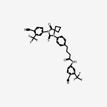 N#Cc1ccc(NC(=O)CCCc2ccc(N3C(=S)N(c4ccc(C#N)c(C(F)(F)F)c4)C(=O)C34CCC4)cc2)cc1C(F)(F)F